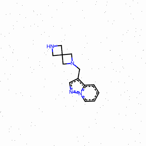 c1ccn2ncc(CN3CC4(CNC4)C3)c2c1